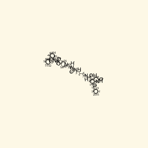 O=C(NCCCCCNCC(O)c1ccc(OCc2ccccc2)c2[nH]c(=O)ccc12)NCCN1CCC(OC(=O)Nc2ccccc2-c2ccccc2)CC1